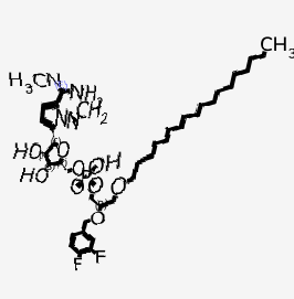 C=Nn1c(/C(N)=N\C)ccc1[C@@H]1O[C@H](COP(=O)(O)OC[C@@H](COCCCCCCCCCCCCCCCCCC)OCc2ccc(F)c(F)c2)[C@@H](O)[C@H]1O